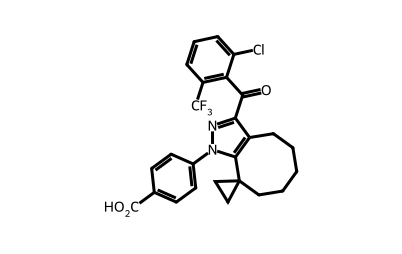 O=C(O)c1ccc(-n2nc(C(=O)c3c(Cl)cccc3C(F)(F)F)c3c2C2(CCCCC3)CC2)cc1